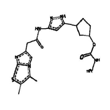 CCCNC(=O)OC1CCC(c2cc(NC(=O)Cc3cn4c(C)c(C)sc4n3)n[nH]2)C1